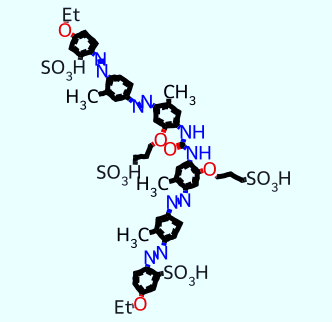 CCOc1ccc(N=Nc2ccc(N=Nc3cc(OCCCS(=O)(=O)O)c(NC(=O)Nc4cc(C)c(N=Nc5ccc(N=Nc6ccc(OCC)cc6S(=O)(=O)O)c(C)c5)cc4OCCCS(=O)(=O)O)cc3C)cc2C)c(S(=O)(=O)O)c1